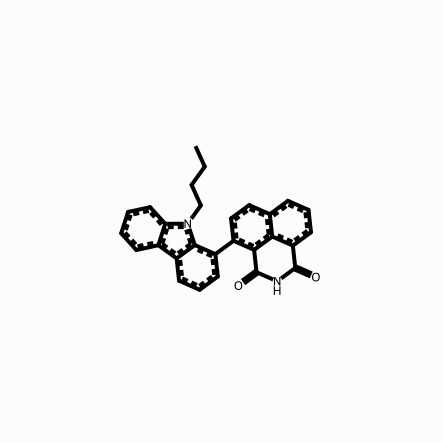 CCCCn1c2ccccc2c2cccc(-c3ccc4cccc5c4c3C(=O)NC5=O)c21